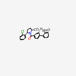 COc1ccccc1-c1ccc(C(=O)N2[C@@H](c3ccccc3Cl)CC[C@H]2C(=O)O)cc1